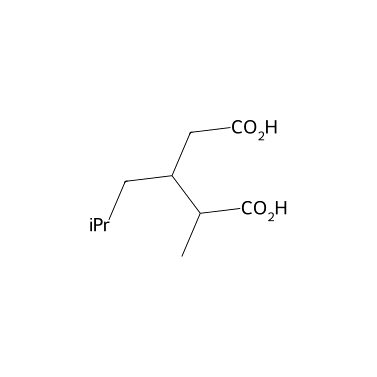 CC(C)CC(CC(=O)O)C(C)C(=O)O